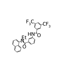 CCN(C(=O)c1cccc(NC(=O)c2cc(C(F)(F)F)cc(C(F)(F)F)c2)c1)c1cccc2ccccc12